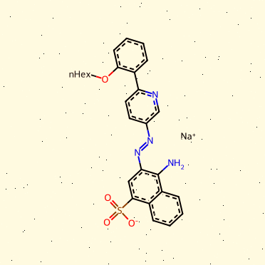 CCCCCCOc1ccccc1-c1ccc(N=Nc2cc(S(=O)(=O)[O-])c3ccccc3c2N)cn1.[Na+]